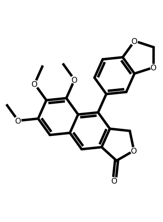 COc1cc2cc3c(c(-c4ccc5c(c4)OCO5)c2c(OC)c1OC)COC3=O